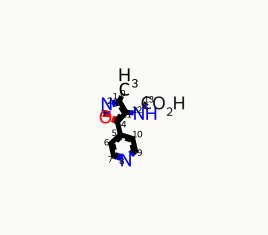 Cc1noc(-c2ccncc2)c1NC(=O)O